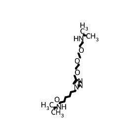 CC(C)NCCOCCOCCOCc1cn(CCCCCC(=O)NC(C)C)nn1